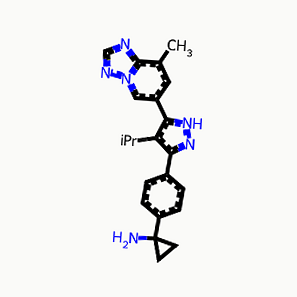 Cc1cc(-c2[nH]nc(-c3ccc(C4(N)CC4)cc3)c2C(C)C)cn2ncnc12